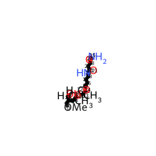 COCC(CO)CC(C)(C)OCC(C)(C)OCCCCNC(=O)CCON